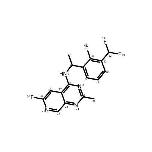 Cc1nc(NC(C)c2cccc(C(F)F)c2F)c2cc(F)ncc2n1